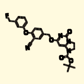 CC(C)(C)OC(=O)N1CCn2c1cc(OCc1ccc(Oc3cccc(CF)c3)c(C#N)c1)nc2=O